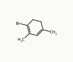 CC1=CC(C)=C(Br)C[CH]1